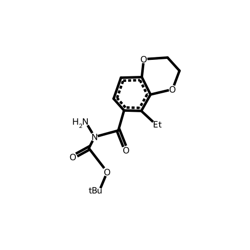 CCc1c(C(=O)N(N)C(=O)OC(C)(C)C)ccc2c1OCCO2